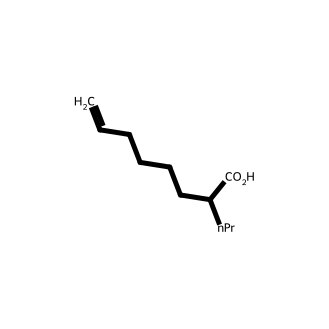 C=CCCCCC(CCC)C(=O)O